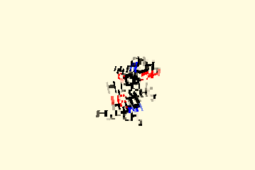 CC1=CC[C@H](NC(=O)C(C)C)[C@@](C)(CO)C1CCC1C(C)C(=O)C[C@]2(C)[C@@H](C(C)N(C)C)[C@H](O)C[C@@]12C